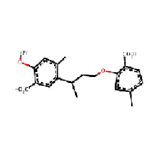 CCCOc1cc(C)c(C(C)CCOc2cc(C)ccc2C(=O)O)cc1C(=O)O